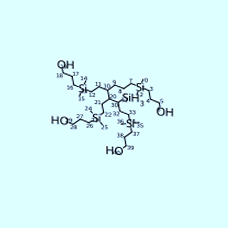 C[Si](C)(CCCO)CCCC(CC[Si](C)(C)CCCO)C(CC[Si](C)(C)CCCO)C([SiH3])CC[Si](C)(C)CCCO